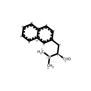 CN(C)[C@H](C=O)Cc1ccc2ccccc2c1